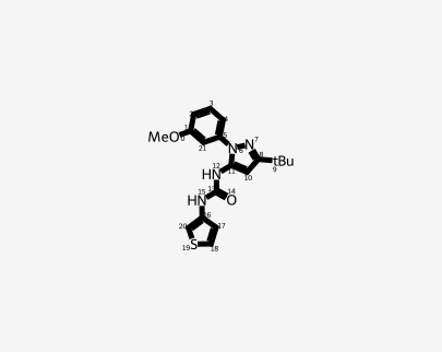 COc1cccc(-n2nc(C(C)(C)C)cc2NC(=O)Nc2ccsc2)c1